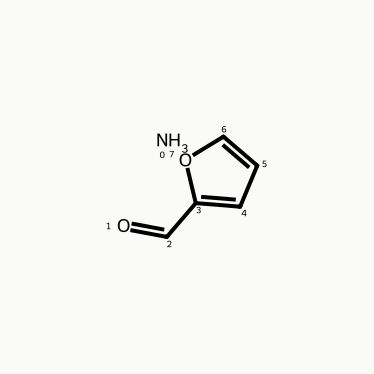 N.O=Cc1ccco1